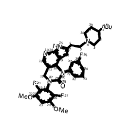 CCCCC1CCN(CCc2cc3c4c(cnc3[nH]2)CN(c2c(F)c(OC)cc(OC)c2F)C(=O)N4c2cccc(F)c2)CC1